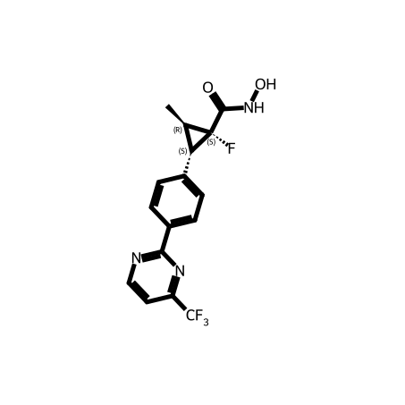 C[C@@H]1[C@@H](c2ccc(-c3nccc(C(F)(F)F)n3)cc2)[C@]1(F)C(=O)NO